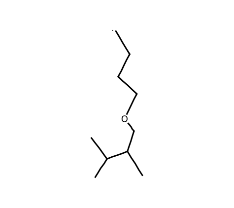 [CH2]CCCOCC(C)C(C)C